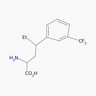 CCC(CC(N)C(=O)O)c1cccc(C(F)(F)F)c1